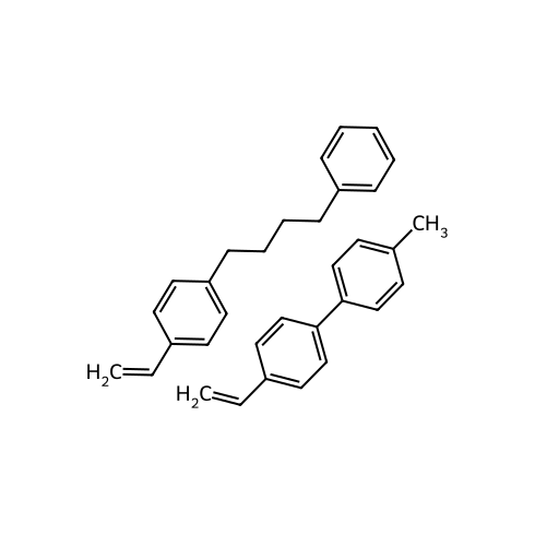 C=Cc1ccc(-c2ccc(C)cc2)cc1.C=Cc1ccc(CCCCc2ccccc2)cc1